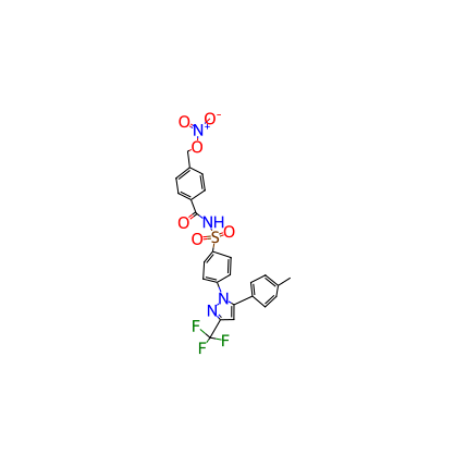 Cc1ccc(-c2cc(C(F)(F)F)nn2-c2ccc(S(=O)(=O)NC(=O)c3ccc(CO[N+](=O)[O-])cc3)cc2)cc1